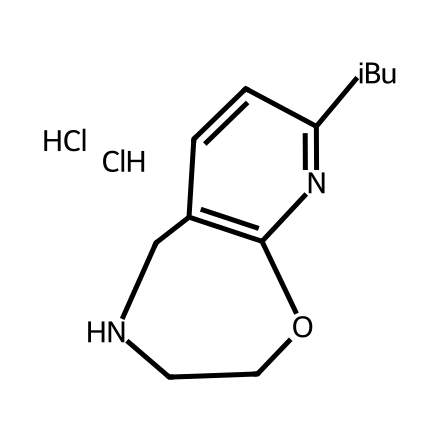 CCC(C)c1ccc2c(n1)OCCNC2.Cl.Cl